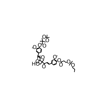 CCCOC(C)(C)OCCC(=O)Oc1ccc(/C=C/C(=O)C(CO)(CO)C(=O)/C=C/c2ccc(OC(=O)C3(C)COC(C)(C)OC3)c(OC)c2)cc1OC